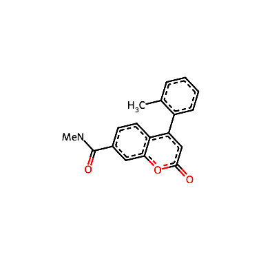 CNC(=O)c1ccc2c(-c3ccccc3C)cc(=O)oc2c1